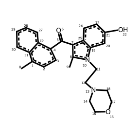 Cc1ccc(C(=O)c2c(C)n(CCN3CCOCC3)c3cc(O)ccc23)c2ccccc12